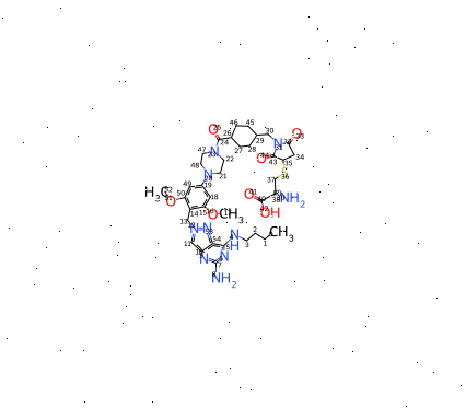 CCCCNc1nc(N)nc2cn(Cc3c(OC)cc(N4CCN(C(=O)C5CCC(CN6C(=O)CC(SC[C@H](N)C(=O)O)C6=O)CC5)CC4)cc3OC)nc12